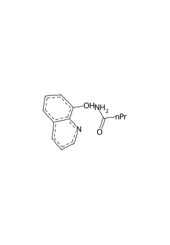 CCCC(N)=O.Oc1cccc2cccnc12